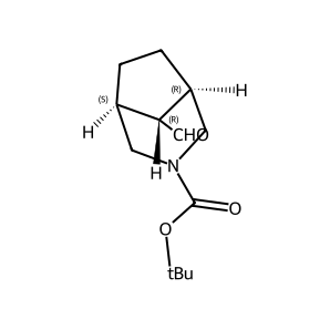 CC(C)(C)OC(=O)N1C[C@H]2CC[C@@H](C1)[C@@H]2C=O